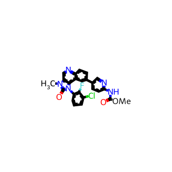 COC(=O)Nc1ccc(-c2ccc3ncc4c(c3c2)n(-c2cccc(Cl)c2F)c(=O)n4C)cn1